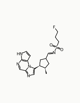 C[C@@H]1CC(/C=N/S(=O)(=O)CCCF)C[C@@H]1c1cnc2cnc3[nH]ccc3n12